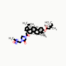 C=C(C)[C@@H]1CC[C@]2(CC(=O)N3CCN(Cc4noc(C)n4)C(=O)C3)CC[C@]3(C)[C@H](CC[C@@H]4[C@@]5(C)CC[C@H](OC(=O)CC(C)(C)CC(=O)O)C(C)(C)[C@@H]5CC[C@]43C)[C@@H]12